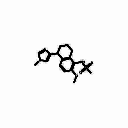 COc1ccc2c(c1NS(C)(=O)=O)CCCC2c1cn(C)cn1